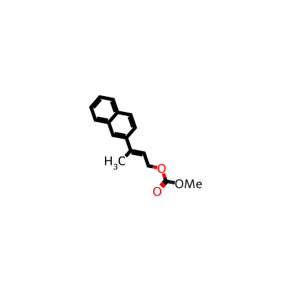 COC(=O)OC/C=C(\C)c1ccc2ccccc2c1